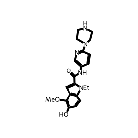 CCn1c(C(=O)Nc2ccc(N3CCNCC3)nc2)cc2c(OC)c(O)ccc21